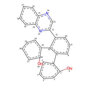 Oc1ccccc1-c1cccc(-c2cnc3ccccc3n2)c1-c1ccccc1O